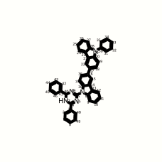 c1ccc(C2=NC(n3c4ccccc4c4cc(-c5ccc6c(c5)c5ccccc5n6-c5ccccc5)ccc43)=NC(c3ccccc3)N2)cc1